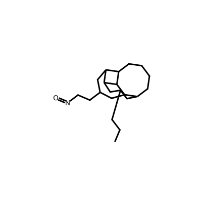 CCCC1CC2CCCCC3C4CC(CCN=O)CC2C3C4C1